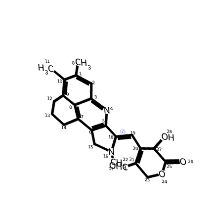 Cc1cc2nc3c(c4c2c(c1C)CCC4)CN(C)/C3=C\C1=C(C=O)COC(=O)C1O